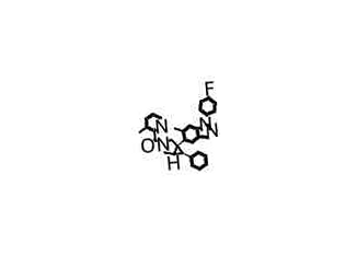 Cc1cc2c(cnn2-c2ccc(F)cc2)cc1[C@]12CN(C(=O)c3ncccc3C)C[C@H]1[C@@H]2c1ccccc1